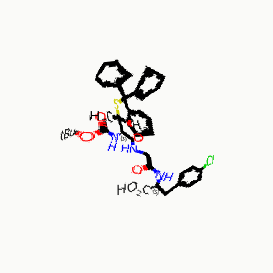 CC(C)(C)OC(=O)N[C@@H](C(=O)NCC(=O)N[C@@H](Cc1ccc(Cl)cc1)C(=O)O)C(C)(C)SC(c1ccccc1)(c1ccccc1)c1ccccc1